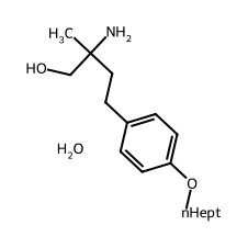 CCCCCCCOc1ccc(CCC(C)(N)CO)cc1.O